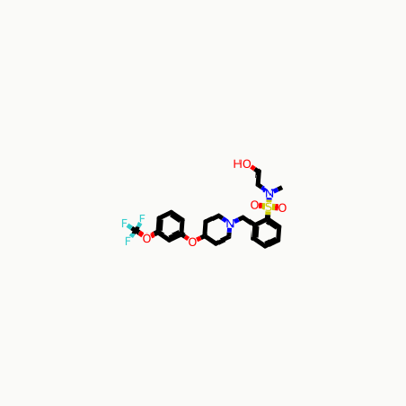 CN(CCO)S(=O)(=O)c1ccccc1CN1CCC(Oc2cccc(OC(F)(F)F)c2)CC1